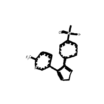 CS(=O)(=O)c1ccc(C2=CCC=C2c2ccc(C(F)(F)F)nc2)cc1